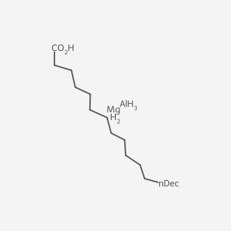 CCCCCCCCCCCCCCCCCCCCCC(=O)O.[AlH3].[MgH2]